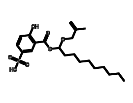 C=C(C)COC(CCCCCCCCC)OC(=O)c1cc(S(=O)(=O)O)ccc1O